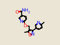 Cc1ccc(-c2noc(C)c2COc2ccc(C(N)=O)cn2)cn1